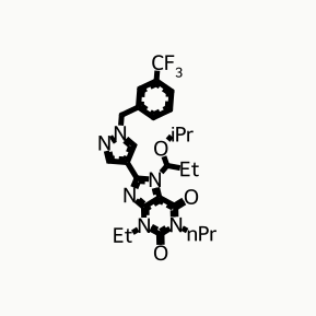 CCCn1c(=O)c2c(nc(-c3cnn(Cc4cccc(C(F)(F)F)c4)c3)n2C(CC)OC(C)C)n(CC)c1=O